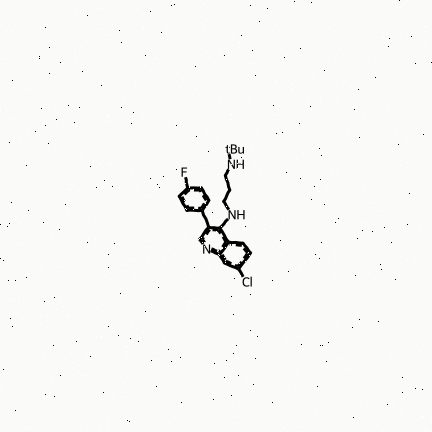 CC(C)(C)NCCCNc1c(-c2ccc(F)cc2)cnc2cc(Cl)ccc12